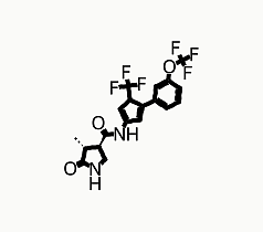 C[C@H]1C(=O)NC[C@@H]1C(=O)NC1=CC(C(F)(F)F)C(c2cccc(OC(F)(F)F)c2)=C1